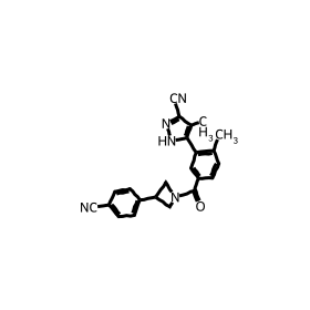 Cc1ccc(C(=O)N2CC(c3ccc(C#N)cc3)C2)cc1-c1[nH]nc(C#N)c1C